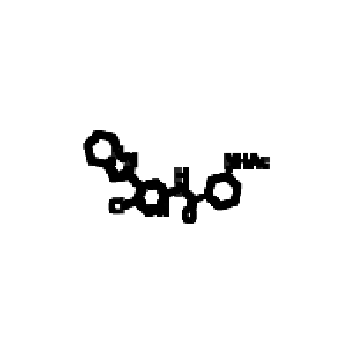 CC(=O)N[C@H]1CCC[C@@H](C(=O)Nc2cc(-c3cc4n(n3)CCCC4)c(Cl)cn2)C1